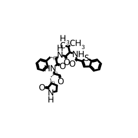 CC(C)C(NC(=O)c1cc2ccccc2s1)C(=O)N[C@@H](Cc1ccccc1)C(=O)N[C@H](C=O)C[C@@H]1CCNC1=O